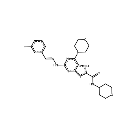 Cc1cccc(/C=N/Nc2nc(N3CCOCC3)c3[nH]c(C(=O)NC4CCOCC4)nc3n2)c1